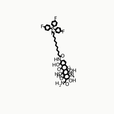 C[C@H]1c2ccc(NC(=O)CCCCCCCCCCC[PH](c3ccc(F)cc3)(c3ccc(F)cc3)c3ccc(F)cc3)c(O)c2C(=O)C2=C(O)[C@]3(O)C(=O)C(C(N)=O)=C(O)[C@@H](N(C)C)[C@@H]3[C@@H](O)[C@@H]21